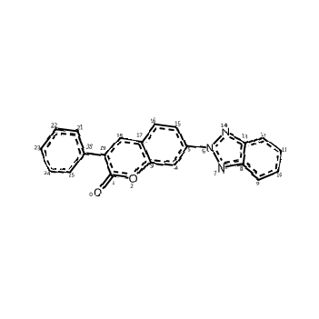 O=c1oc2cc(-n3nc4ccccc4n3)ccc2cc1-c1ccccc1